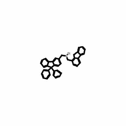 CCN(Cc1ccc2c(c1)-c1ccccc1C2(c1ccccc1)c1ccccc1)Cc1cccc2c1Cc1ccccc1-2